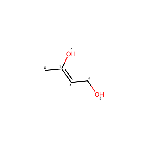 CC(O)=CCO